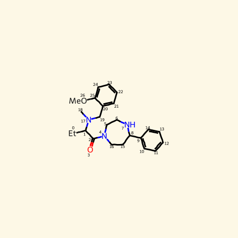 CCC(C(=O)N1CCNC(c2ccccc2)CC1)N(C)Cc1ccccc1OC